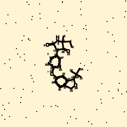 CCC1(C)NC(=O)N(c2cnc(Oc3ccc4c(c3)C(C(C)(C)C)OC4)nc2)C1=O